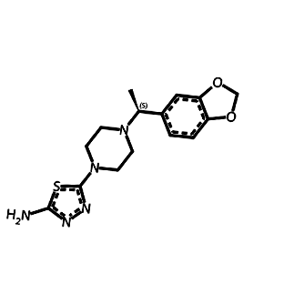 C[C@@H](c1ccc2c(c1)OCO2)N1CCN(c2nnc(N)s2)CC1